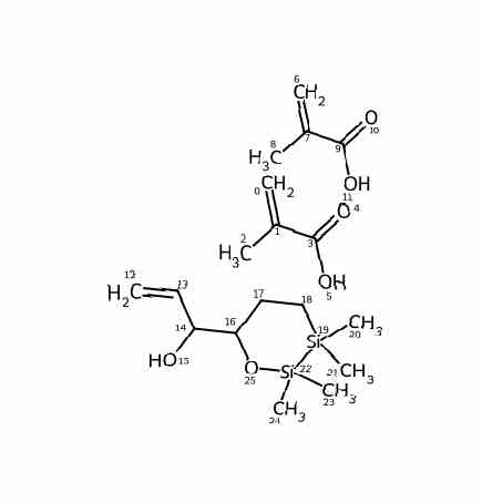 C=C(C)C(=O)O.C=C(C)C(=O)O.C=CC(O)C1CC[Si](C)(C)[Si](C)(C)O1